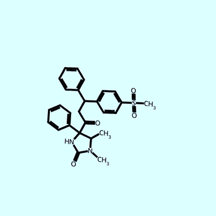 CC1N(C)C(=O)NC1(C(=O)CC(c1ccccc1)c1ccc(S(C)(=O)=O)cc1)c1ccccc1